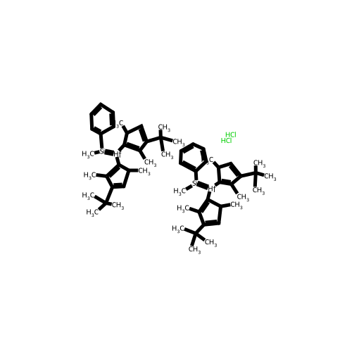 CC1=[C]([Hf]([C]2=C(C)C(C(C)(C)C)=CC2C)=[Si](C)c2ccccc2)C(C)C=C1C(C)(C)C.CC1=[C]([Hf]([C]2=C(C)C(C(C)(C)C)=CC2C)=[Si](C)c2ccccc2)C(C)C=C1C(C)(C)C.Cl.Cl